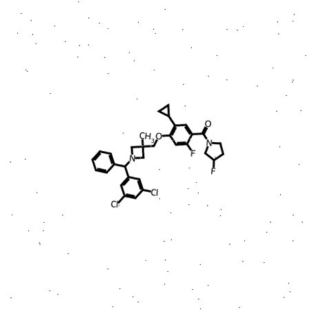 CC1(COc2cc(F)c(C(=O)N3CCC(F)C3)cc2C2CC2)CN(C(c2ccccc2)c2cc(Cl)cc(Cl)c2)C1